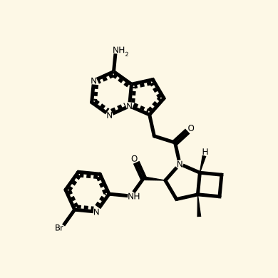 C[C@]12CC[C@H]1N(C(=O)Cc1ccc3c(N)ncnn13)[C@H](C(=O)Nc1cccc(Br)n1)C2